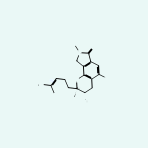 CCC/C(C)=C/CC[C@]1(C)Oc2c(c(O)cc3c2CN(C)C3=O)C[C@@H]1O